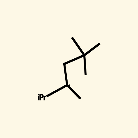 C[C](CC(C)(C)C)C(C)C